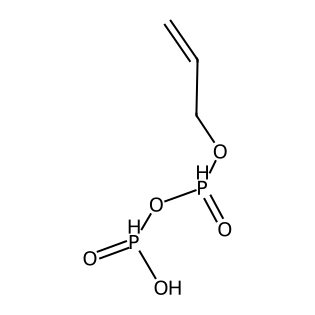 C=CCO[PH](=O)O[PH](=O)O